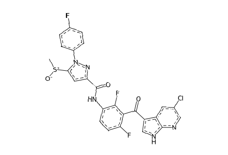 C[S+]([O-])c1cc(C(=O)Nc2ccc(F)c(C(=O)c3c[nH]c4ncc(Cl)cc34)c2F)nn1-c1ccc(F)cc1